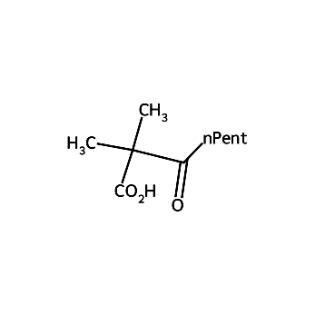 CCCCCC(=O)C(C)(C)C(=O)O